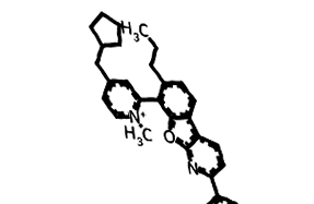 CCCc1ccc2c(oc3nc(-c4ccccc4)ccc32)c1-c1cc(CC2CCCC2)cc[n+]1C